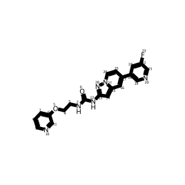 O=C(NCCOc1cccnc1)Nc1cc2cc(-c3cncc(F)c3)ccn2n1